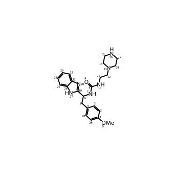 COc1ccc(CC(NC(=O)NCCN2CCNCC2)c2nc3ccccc3[nH]2)cc1